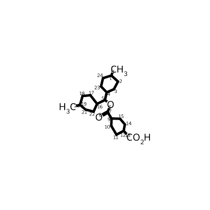 CC1CCC(C(OC(=O)C2CCC(C(=O)O)CC2)C2CCC(C)CC2)CC1